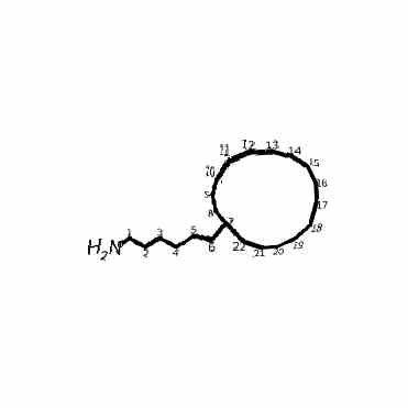 NCCCCCCC1CC[CH]CCCCCCCCCCCC1